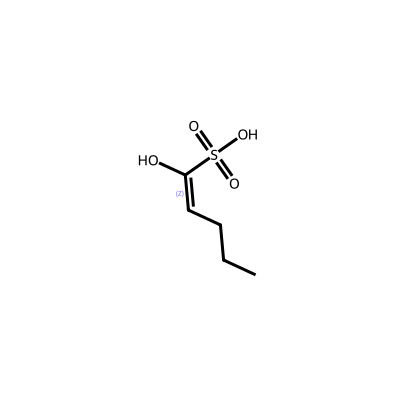 CCC/C=C(/O)S(=O)(=O)O